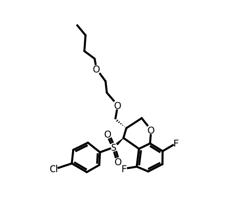 CCCCOCCOC[C@@H]1COc2c(F)ccc(F)c2[C@H]1S(=O)(=O)c1ccc(Cl)cc1